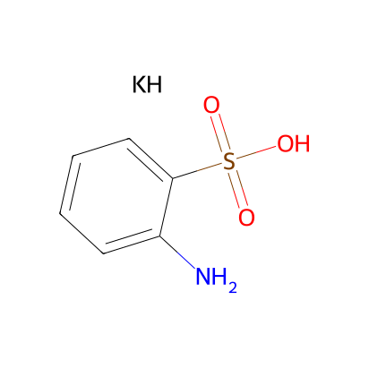 Nc1ccccc1S(=O)(=O)O.[KH]